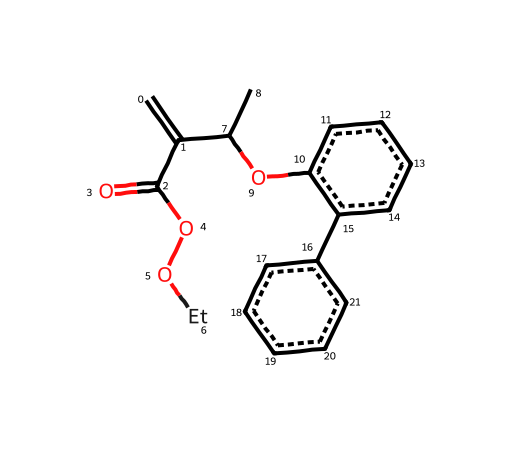 C=C(C(=O)OOCC)C(C)Oc1ccccc1-c1ccccc1